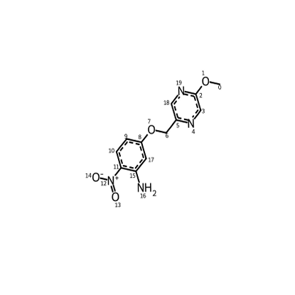 COc1cnc(COc2ccc([N+](=O)[O-])c(N)c2)cn1